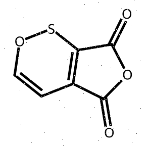 O=c1oc(=O)c2soccc1=2